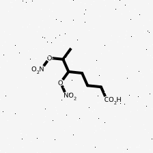 CC(O[N+](=O)[O-])C(CCCC(=O)O)O[N+](=O)[O-]